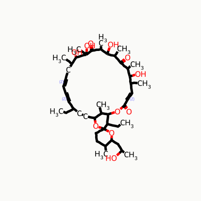 CCC1/C=C\C=C/CC(C)C(O)C(C)(O)C(=O)C(C)C(O)C(C)C(=O)C(C)C(O)C(C)/C=C\C(=O)OC2C(C)C(CC1)OC1(CCC(C)C(CC(C)O)O1)C2CC